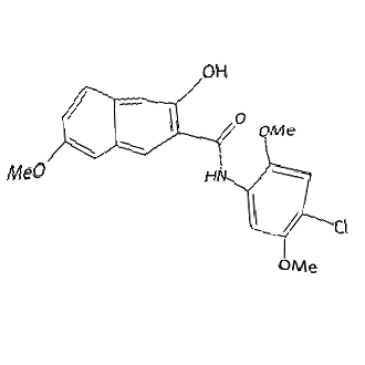 COc1ccc2cc(O)c(C(=O)Nc3cc(OC)c(Cl)cc3OC)cc2c1